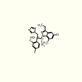 CCc1nn([C@H](C)[C@](O)(Cn2cncn2)c2ccc(F)cc2F)c2c(C)cc(Cl)cc12